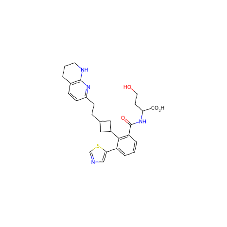 O=C(NC(CCO)C(=O)O)c1cccc(-c2cncs2)c1C1CC(CCc2ccc3c(n2)NCCC3)C1